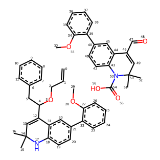 C=CCOC(Cc1ccccc1)C1=CC(C)(C)Nc2ccc(-c3ccccc3OC)cc21.COc1ccccc1-c1ccc2c(c1)C(C=O)=CC(C)(C)N2C(=O)O